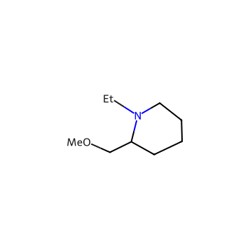 [CH2]CN1CCCCC1COC